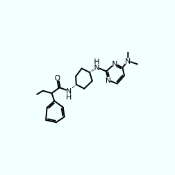 CCC(C(=O)N[C@H]1CC[C@@H](Nc2nccc(N(C)C)n2)CC1)c1ccccc1